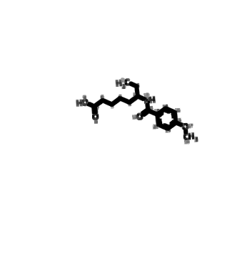 CCC(CCCCC(=O)O)NC(=O)c1ccc(OC)cc1